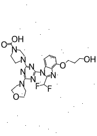 O=C(O)N1CCN(c2nc(N3CCOCC3)nc(-n3c(C(F)F)nc4c(OCCCO)cccc43)n2)CC1